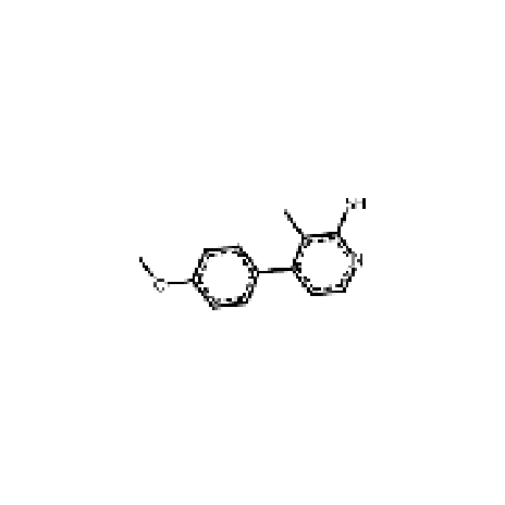 COc1ccc(-c2ccnc(S)c2C)cc1